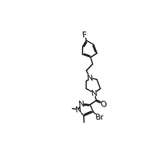 Cc1c(Br)c(C(=O)N2CCN(CCc3ccc(F)cc3)CC2)nn1C